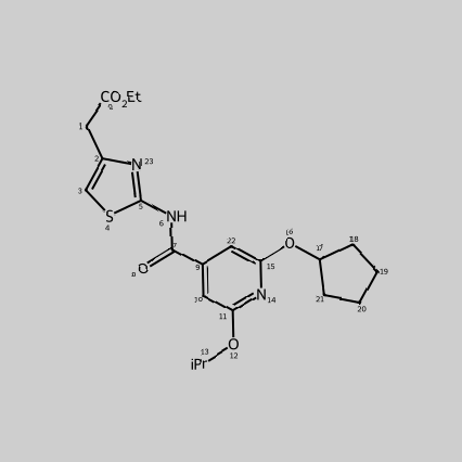 CCOC(=O)Cc1csc(NC(=O)c2cc(OC(C)C)nc(OC3CCCC3)c2)n1